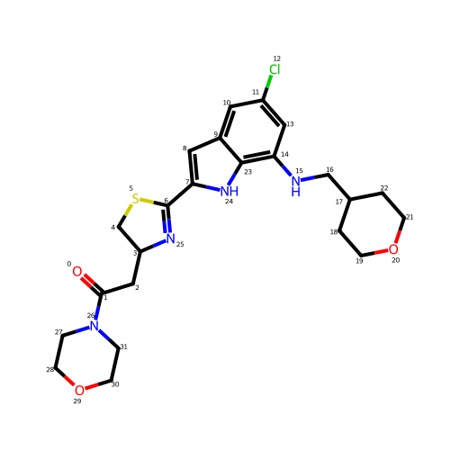 O=C(CC1CSC(c2cc3cc(Cl)cc(NCC4CCOCC4)c3[nH]2)=N1)N1CCOCC1